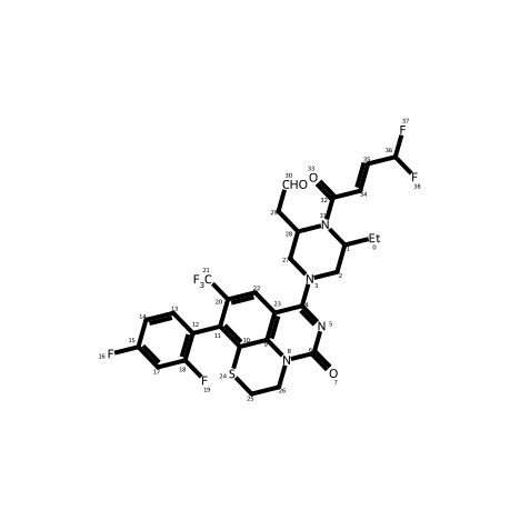 CCC1CN(c2nc(=O)n3c4c(c(-c5ccc(F)cc5F)c(C(F)(F)F)cc24)SCC3)CC(CC=O)N1C(=O)/C=C/C(F)F